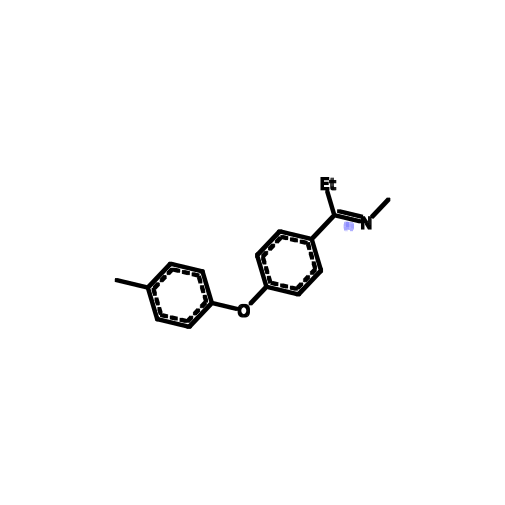 CC/C(=N\C)c1ccc(Oc2ccc(C)cc2)cc1